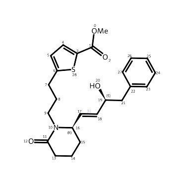 COC(=O)c1ccc(CCCN2C(=O)CCC[C@@H]2/C=C/[C@@H](O)Cc2ccccc2)s1